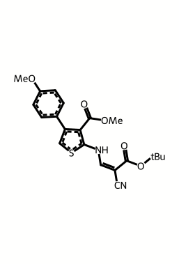 COC(=O)c1c(-c2ccc(OC)cc2)csc1N/C=C(/C#N)C(=O)OC(C)(C)C